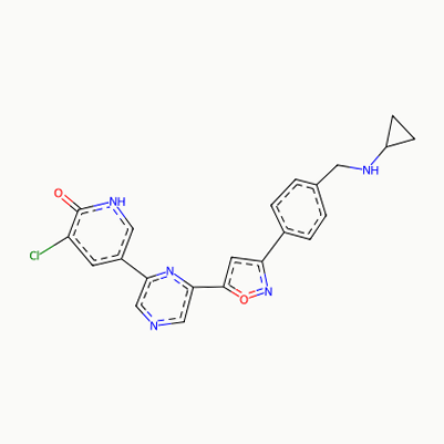 O=c1[nH]cc(-c2cncc(-c3cc(-c4ccc(CNC5CC5)cc4)no3)n2)cc1Cl